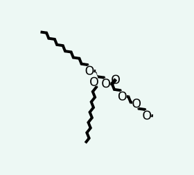 CCCCCCCCCCCCOC[C@H](COC(=O)CCOCCOCCOC)OCCCCCCCCCCCC